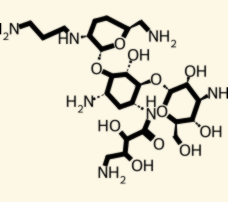 NCCCN[C@@H]1CC[C@@H](CN)O[C@@H]1OC1[C@@H](N)C[C@@H](NC(=O)C(O)C(O)CN)[C@H](O[C@H]2O[C@H](CO)[C@@H](O)[C@H](N)[C@H]2O)[C@H]1O